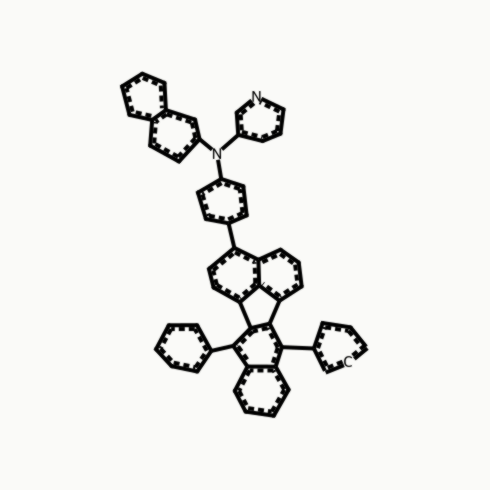 c1ccc(-c2c3c(c(-c4ccccc4)c4ccccc24)-c2ccc(-c4ccc(N(c5cccnc5)c5ccc6ccccc6c5)cc4)c4cccc-3c24)cc1